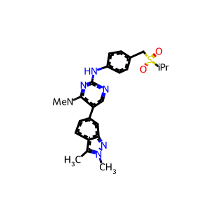 CNc1nc(Nc2ccc(CS(=O)(=O)C(C)C)cc2)ncc1-c1ccc2c(C)n(C)nc2c1